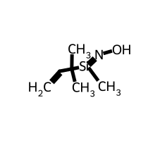 C=CC(C)(C)[Si](C)=NO